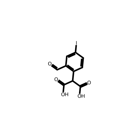 O=Cc1cc(I)ccc1C(C(=O)O)C(=O)O